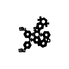 Cc1cc2c3c(c1)N(c1cccc4oc5ccccc5c14)c1c(sc4cc5c(cc14)C(C)(C)CCC5(C)C)B3c1cc(C(C)(C)C)ccc1N2c1ccc(C(C)(C)C)cc1